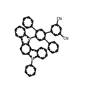 N#Cc1cc(C#N)cc(-c2cc(-c3ccccc3)c(-n3c4ccccc4c4ccc5c(c6ccccc6n5-c5ccccc5)c43)cc2-c2ccccc2)c1